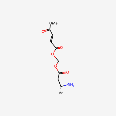 COC(=O)/C=C/C(=O)OCOC(=O)C[C@H](N)C(C)=O